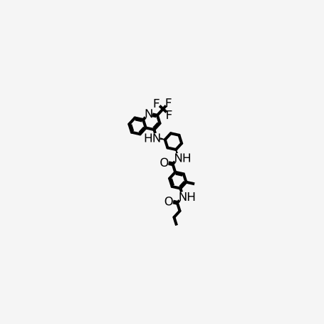 CCCC(=O)Nc1ccc(C(=O)N[C@@H]2CCC[C@H](Nc3cc(C(F)(F)F)nc4ccccc34)C2)cc1C